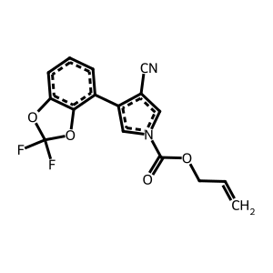 C=CCOC(=O)n1cc(C#N)c(-c2cccc3c2OC(F)(F)O3)c1